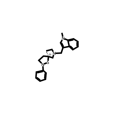 Cn1cc(CN2CC[C@]3(CCN(c4ccccc4)S3)C2)c2ccccc21